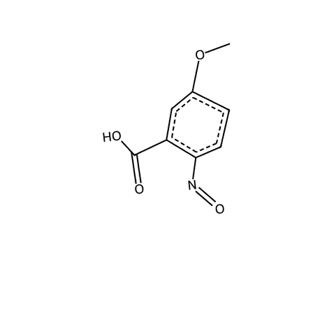 COc1ccc(N=O)c(C(=O)O)c1